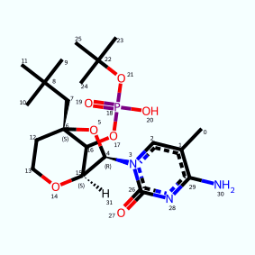 Cc1cn([C@@H]2O[C@@]3(CC(C)(C)C)CCO[C@H]2C3OP(=O)(O)OC(C)(C)C)c(=O)nc1N